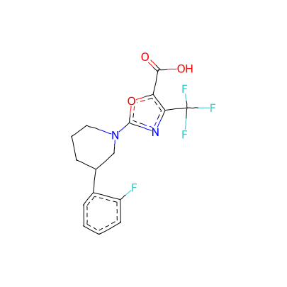 O=C(O)c1oc(N2CCCC(c3ccccc3F)C2)nc1C(F)(F)F